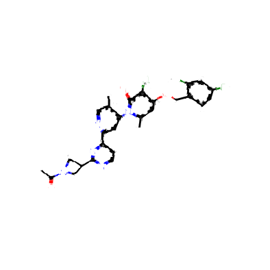 CC(=O)N1CC(c2nccc(-c3cc(-n4c(C)cc(OCc5ccc(F)cc5F)c(Cl)c4=O)c(C)cn3)n2)C1